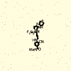 CNC(=O)c1ccc(NCC#Cc2nc3c(N[C@@H]4CCN(C)C[C@@H]4F)cccn3c2SC(F)(F)F)c(C#N)c1